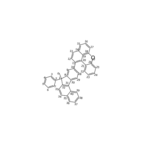 CC1(c2ccccc2)c2cc(-c3ccc4cccc5c4c3-c3ccccc3O5)ccc2-c2c1ccc1ccccc21